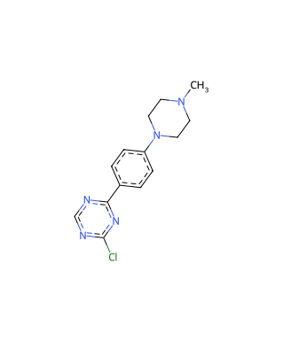 CN1CCN(c2ccc(-c3ncnc(Cl)n3)cc2)CC1